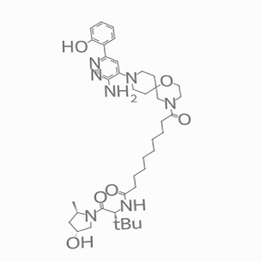 C[C@@H]1C[C@@H](O)CN1C(=O)[C@@H](NC(=O)CCCCCCCCC(=O)N1CCOC2(CCN(c3cc(-c4ccccc4O)nnc3N)CC2)C1)C(C)(C)C